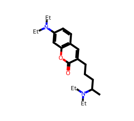 CCN(CC)c1ccc2cc(CCCC(C)N(CC)CC)c(=O)oc2c1